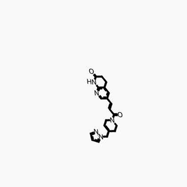 O=C1CCc2cc(C=CC(=O)N3CC=C(Cn4cccn4)CC3)cnc2N1